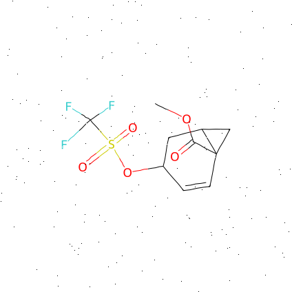 COC(=O)C12C=CC(OS(=O)(=O)C(F)(F)F)CC1C2